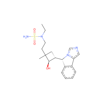 CCN(CCC1(C)C[C@H]([C@H]2c3ccccc3-c3cncn32)[C@H]1O)S(N)(=O)=O